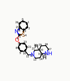 c1ccc2sc(Oc3ccc(CN4CC[C@H]5NCCC[C@H]5C4)cc3)nc2c1